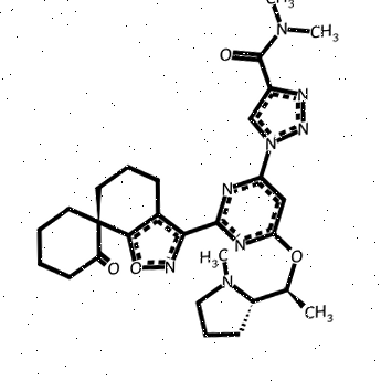 C[C@H](Oc1cc(-n2cc(C(=O)N(C)C)nn2)nc(-c2noc3c2CCC[C@@]32CCCCC2=O)n1)[C@@H]1CCCN1C